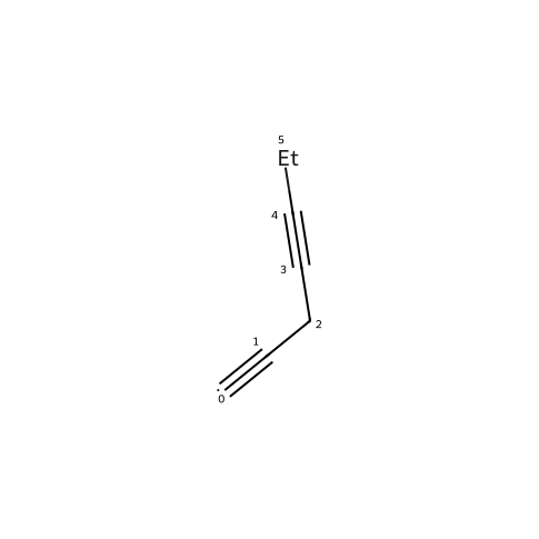 [C]#CCC#CCC